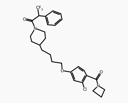 O=C(c1ccc(OCCCCC2CCN(C(=O)C(c3ccccc3)C(F)(F)F)CC2)cc1Cl)N1CCC1